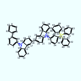 c1ccc(-c2cccc(-n3c4ccccc4c4cc(-c5ccc6c(c5)c5ccccc5n6-c5cccc(S(c6ccccc6)(c6ccccc6)c6ccccc6)c5)ccc43)c2)cc1